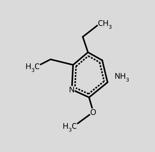 CCc1ccc(OC)nc1CC.N